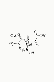 O=C(O)C(=O)O.O=C(O)C(=O)O.OB(O)O.[CsH]